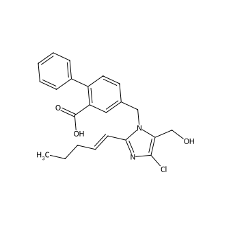 CCCC=Cc1nc(Cl)c(CO)n1Cc1ccc(-c2ccccc2)c(C(=O)O)c1